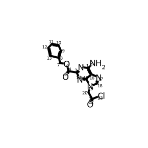 Nc1nc(C(=O)OCc2ccccc2)nc2c1ncn2CC(=O)Cl